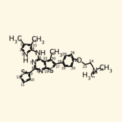 Cc1c[nH]c(Nc2nc(-c3cccs3)nc3sc(-c4ccc(OCCN(C)C)cc4)c(C)c23)c1C